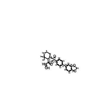 CC1(C)SCCN(S(=O)(=O)c2ccc(-c3ccc4c(c3)OCO4)cc2)[C@H]1C(=O)NO